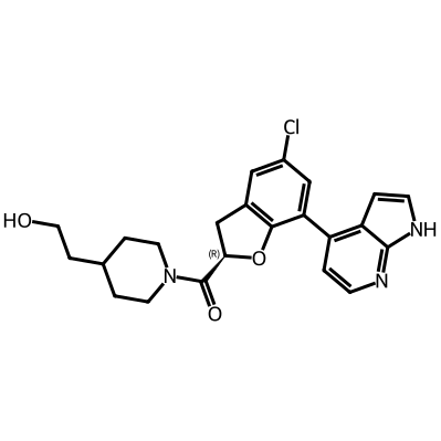 O=C([C@H]1Cc2cc(Cl)cc(-c3ccnc4[nH]ccc34)c2O1)N1CCC(CCO)CC1